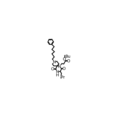 CC(C)CC1NC(=O)C2(CCN(CCCCCCc3ccccc3)CC2)N(CCC(=O)OC(C)(C)C)C1=O